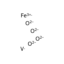 [Fe+3].[O-2].[O-2].[O-2].[O-2].[V]